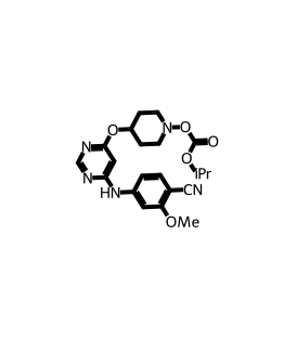 COc1cc(Nc2cc(OC3CCN(OC(=O)OC(C)C)CC3)ncn2)ccc1C#N